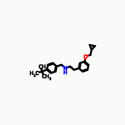 CC(C)(C)c1ccc(CNCCc2cccc(OCC3CC3)c2)cc1